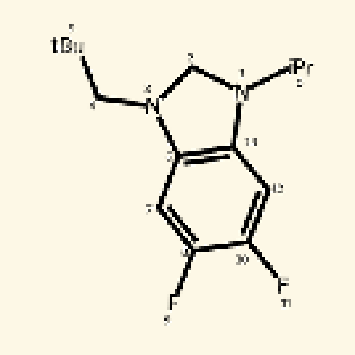 CC(C)N1CN(CC(C)(C)C)c2cc(F)c(F)cc21